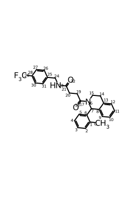 Cc1ccccc1C1c2ccccc2CCN1C(=O)CCC(=O)NCc1ccc(C(F)(F)F)cc1